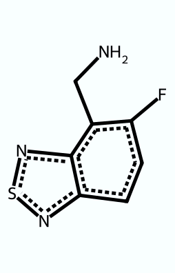 NCc1c(F)ccc2nsnc12